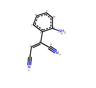 N#C/C=C(\C#N)c1ccccc1N